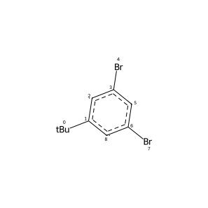 CC(C)(C)c1[c]c(Br)cc(Br)[c]1